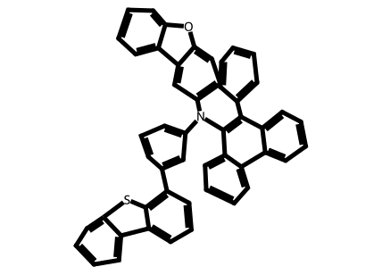 c1ccc(-c2c(N(c3cccc(-c4cccc5c4sc4ccccc45)c3)c3ccc4oc5ccccc5c4c3)c3ccccc3c3ccccc23)cc1